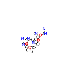 Cc1cc(CN2CCC2)c(OCc2cncc(C#N)c2)cc1OCc1cccc(-c2cccc(COc3cc(OCc4cncc(C#N)c4)c(CN4CCC4)cc3C)c2C#N)c1